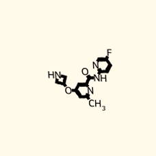 Cc1cc(OC2CNC2)cc(C(=O)Nc2ccc(F)cn2)n1